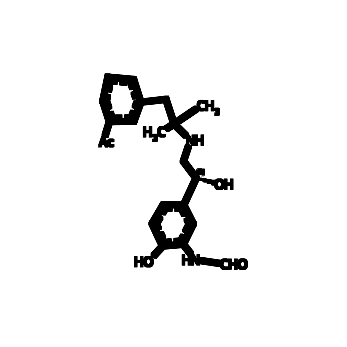 CC(=O)c1cccc(CC(C)(C)NC[C@H](O)c2ccc(O)c(NC=O)c2)c1